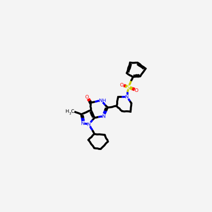 Cc1nn(C2CCCCC2)c2nc(C3CCCN(S(=O)(=O)c4ccccc4)C3)[nH]c(=O)c12